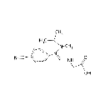 CC(C)N(C)[N+](=CNCC(=O)O)c1ccc(C#N)cc1